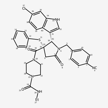 [C-]#[N+]c1ccc(CN2C(=O)C[C@@](Sc3ccccc3)(C(=O)N3CCN(C(=O)NCC)CC3)[C@@H]2c2c[nH]c3cc(Cl)ccc23)cc1